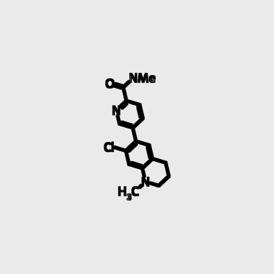 CNC(=O)c1ccc(-c2cc3c(cc2Cl)N(C)CCC3)cn1